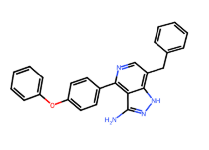 Nc1n[nH]c2c(Cc3ccccc3)cnc(-c3ccc(Oc4ccccc4)cc3)c12